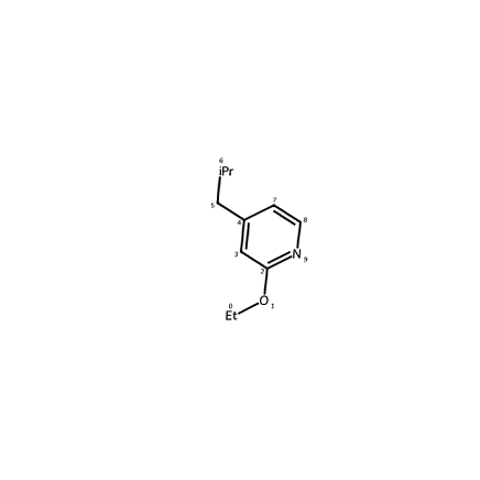 CCOc1cc(CC(C)C)ccn1